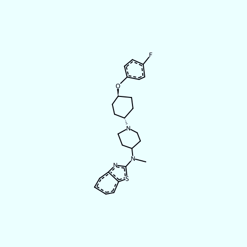 CN(c1nc2ccccc2s1)C1CCN([C@H]2CC[C@H](Oc3ccc(F)cc3)CC2)CC1